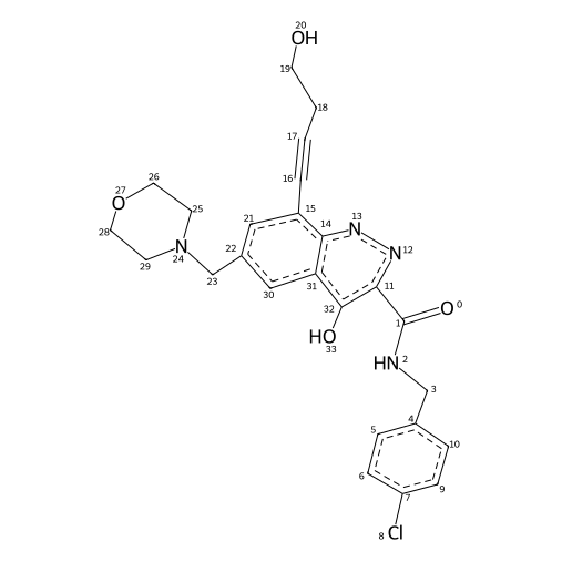 O=C(NCc1ccc(Cl)cc1)c1nnc2c(C#CCCO)cc(CN3CCOCC3)cc2c1O